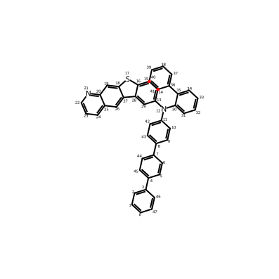 c1ccc(-c2ccc(-c3ccc(N(c4ccc5sc6cc7ncccc7cc6c5c4)c4ccccc4-c4ccccc4)cc3)cc2)cc1